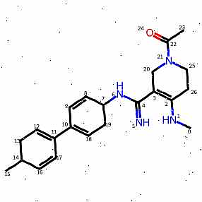 CNC1=C(C(=N)NC2C=CC(C3=CCC(C)C=C3)=CC2)CN(C(C)=O)CC1